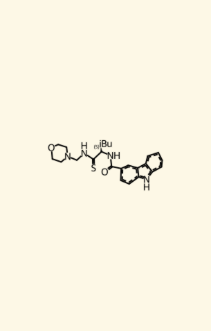 CC[C@H](C)C(NC(=O)c1ccc2[nH]c3ccccc3c2c1)C(=S)NCN1CCOCC1